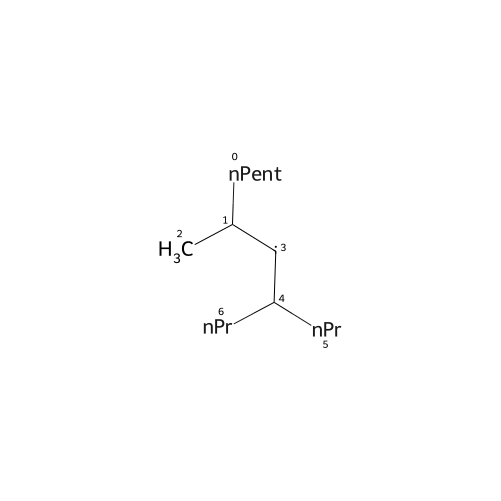 CCCCCC(C)[CH]C(CCC)CCC